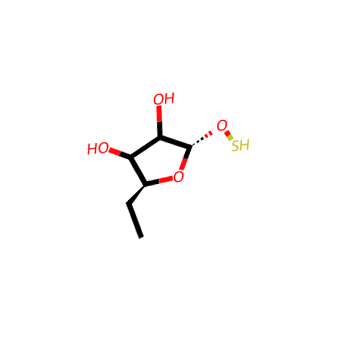 CC[C@@H]1O[C@@H](OS)C(O)C1O